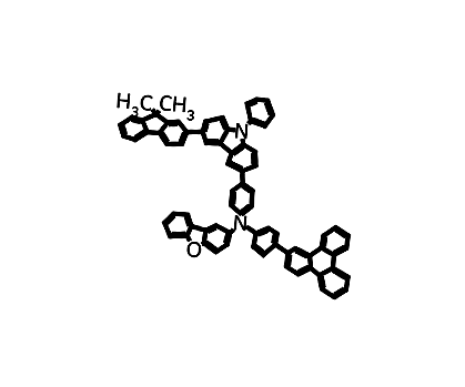 CC1(C)c2ccccc2-c2ccc(-c3ccc4c(c3)c3cc(-c5ccc(N(c6ccc(-c7ccc8c9ccccc9c9ccccc9c8c7)cc6)c6ccc7oc8ccccc8c7c6)cc5)ccc3n4-c3ccccc3)cc21